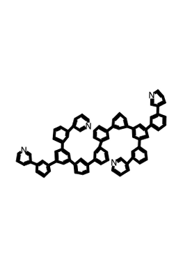 c1cncc(-c2cccc(-c3cc(-c4cccc(-c5cccnc5)c4)cc(-c4cccc(-c5cccc(-c6cccc(-c7cccc(-c8cc(-c9cccc(-c%10cccnc%10)c9)cc(-c9cccc(-c%10cccnc%10)c9)c8)c7)c6)c5)c4)c3)c2)c1